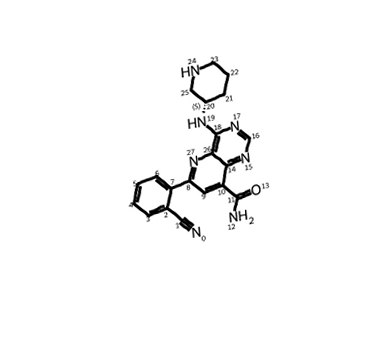 N#Cc1ccccc1-c1cc(C(N)=O)c2ncnc(N[C@H]3CCCNC3)c2n1